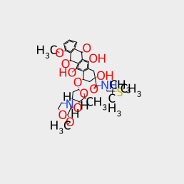 COc1cccc2c1C(=O)c1c(O)c3c(c(O)c1C2=O)C[C@@](O)(C(=O)NCC(C)(C)SC)C[C@@H]3O[C@H]1C[C@H]2[C@H](O[C@@H]3[C@@H](OC)OCCN32)[C@H](C)O1